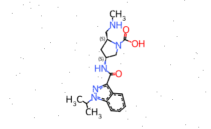 CNC[C@@H]1C[C@H](NC(=O)c2nn(C(C)C)c3ccccc23)CN1C(=O)O